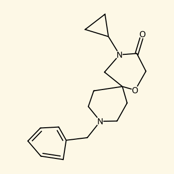 O=C1COC2(CCN(Cc3ccccc3)CC2)CN1C1CC1